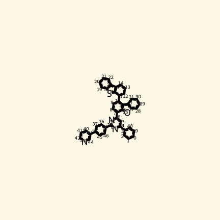 c1ccc(-c2cc(-c3ccc(-c4cccc5c4sc4ccccc45)c4c3oc3ccccc34)nc(-c3ccc(-c4cccnc4)cc3)n2)cc1